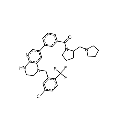 O=C(c1cccc(-c2cnc3c(c2)N(Cc2cc(Cl)ccc2C(F)(F)F)CCN3)c1)N1CCCC1CN1CCCC1